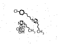 CCCCn1cc[n+](CCCCc2ccc(Cl)cc2)c1.CCCCn1ccnc1.O=P([O-])(O)O